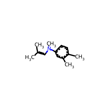 CC(C)=CN(C)c1ccc(C)c(C)c1